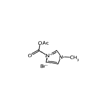 CC(=O)OC(=O)[n+]1ccn(C)c1.[Br-]